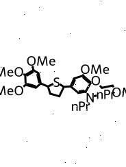 CCCN(CCC)c1cc(C2CCC(c3cc(OC)c(OC)c(OC)c3)S2)cc(OC)c1OCCOC